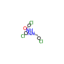 O=C(Nc1ccc(Cl)cc1N1CCN(C/C=C/c2ccc(Cl)cc2)CC1)c1ccc(Cl)cc1